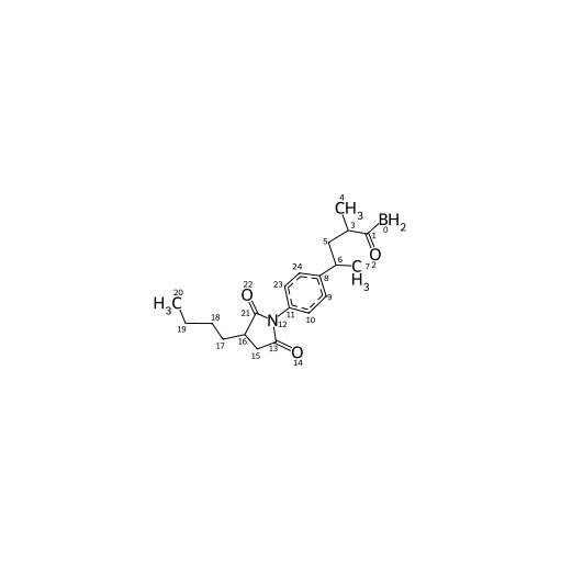 BC(=O)C(C)CC(C)c1ccc(N2C(=O)CC(CCCC)C2=O)cc1